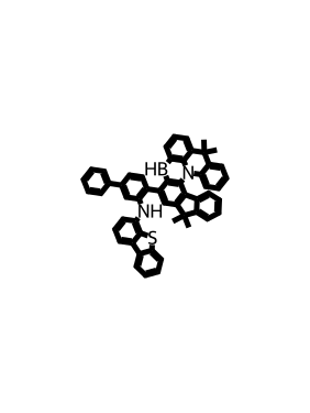 CC1(C)c2ccccc2-c2c1cc(-c1ccc(-c3ccccc3)cc1Nc1cccc3c1sc1ccccc13)c1c2N2c3ccccc3C(C)(C)c3cccc(c32)B1